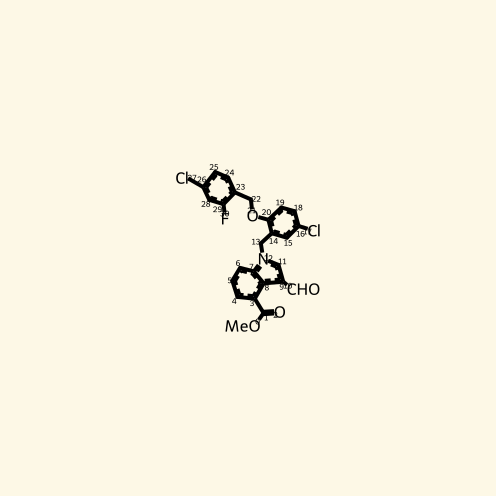 COC(=O)c1cccc2c1c(C=O)cn2Cc1cc(Cl)ccc1OCc1ccc(Cl)cc1F